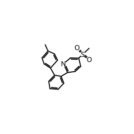 Cc1ccc(-c2ccccc2-c2ccc(S(C)(=O)=O)cn2)cc1